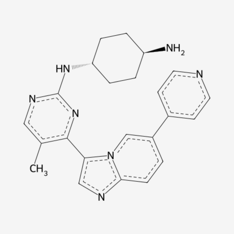 Cc1cnc(N[C@H]2CC[C@H](N)CC2)nc1-c1cnc2ccc(-c3ccncc3)cn12